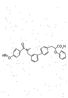 CCCCOc1ccc(C(=O)N(C)Cc2cccc(-c3ccc(CC(Oc4ccccc4)C(=O)O)cc3)c2)cc1